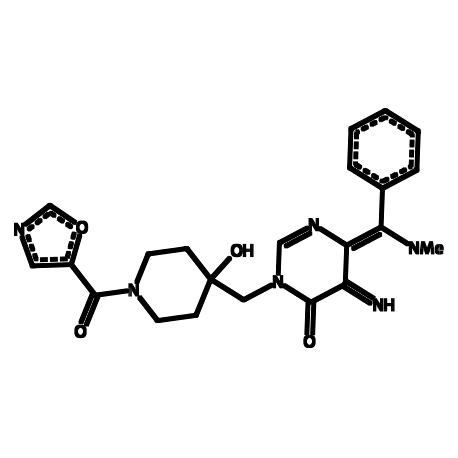 CN/C(=C1/N=CN(CC2(O)CCN(C(=O)c3cnco3)CC2)C(=O)C1=N)c1ccccc1